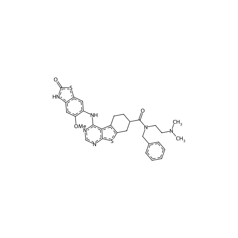 COc1cc2[nH]c(=O)sc2cc1Nc1ncnc2sc3c(c12)CCC(C(=O)N(CCN(C)C)Cc1ccccc1)C3